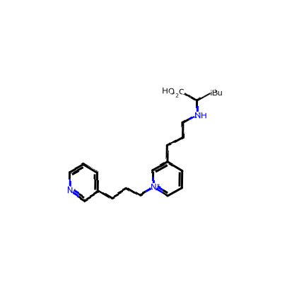 CCC(C)C(NCCCc1ccc[n+](CCCc2cccnc2)c1)C(=O)O